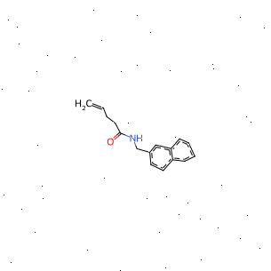 C=CCCC(=O)NCc1ccc2ccccc2c1